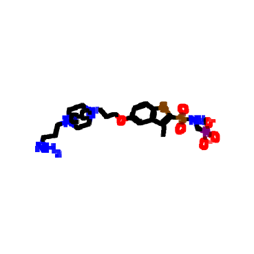 Cc1c(S(=O)(=O)NCP(=O)([O-])[O-])sc2ccc(OCCC[N+]34CC[N+](CCCN)(CC3)CC4)cc12